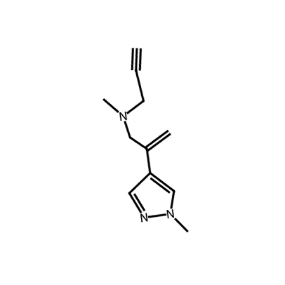 C#CCN(C)CC(=C)c1cnn(C)c1